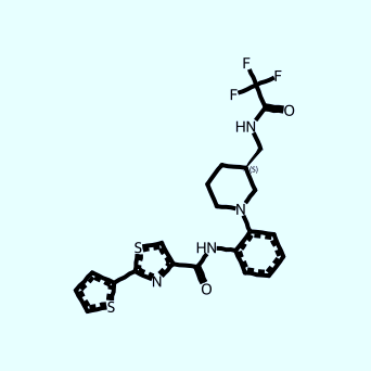 O=C(Nc1ccccc1N1CCC[C@@H](CNC(=O)C(F)(F)F)C1)c1csc(-c2cccs2)n1